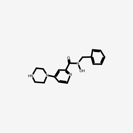 O=C(c1cc(N2CCNCC2)ccn1)N(O)Cc1ccccc1